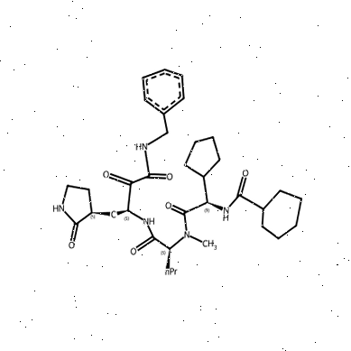 CCC[C@@H](C(=O)N[C@@H](C[C@@H]1CCNC1=O)C(=O)C(=O)NCc1ccccc1)N(C)C(=O)[C@H](NC(=O)C1CCCCC1)C1CCCC1